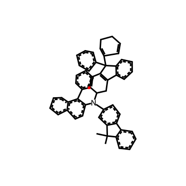 CC1(C)c2ccccc2-c2ccc(N(c3ccc4ccccc4c3-c3ccccc3)C3C=CC4=C(C3)c3ccccc3C4(C3=CCCC=C3)c3ccccc3)cc21